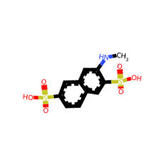 CNc1cc2cc(S(=O)(=O)O)ccc2cc1S(=O)(=O)O